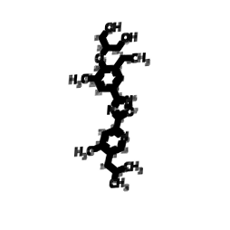 CCc1cc(-c2noc(-c3cc(C)c(CC(C)C)cn3)n2)cc(C)c1OC(CO)CO